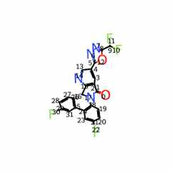 O=C1c2cc(-c3nnc(C(F)F)o3)cnc2CN1c1ccc(F)cc1-c1cccc(F)c1